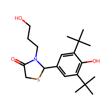 CC(C)(C)c1cc(C2SCC(=O)N2CCCO)cc(C(C)(C)C)c1O